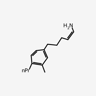 CCCc1ccc(CCC/C=C\N)cc1C